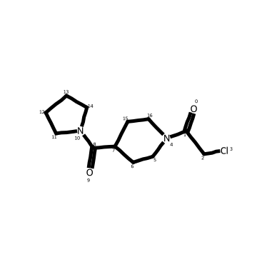 O=C(CCl)N1CCC(C(=O)N2CCCC2)CC1